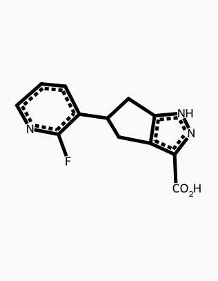 O=C(O)c1n[nH]c2c1CC(c1cccnc1F)C2